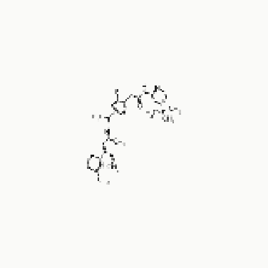 C\C=C/C(=C\C(C)=N\CC(C)c1ccc(CC(=O)Nc2cc(C(C)(C)C)ccn2)c(F)c1)c1cccc(C)n1